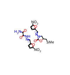 CSCC1CN(/N=C/c2ccc([N+](=O)[O-])o2)C(=O)O1.NC(=O)C(=O)N/N=C/c1ccc([N+](=O)[O-])o1